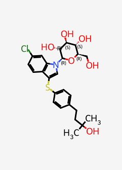 CC(C)(O)CCc1ccc(Sc2cn([C@@H]3O[C@H](CO)[C@@H](O)[C@H](O)[C@H]3O)c3cc(Cl)ccc23)cc1